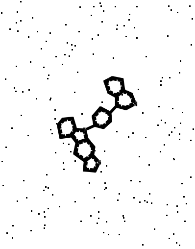 c1ccc2c(-c3ccc(-n4c5ccccc5c5cc6ccsc6cc54)cc3)cncc2c1